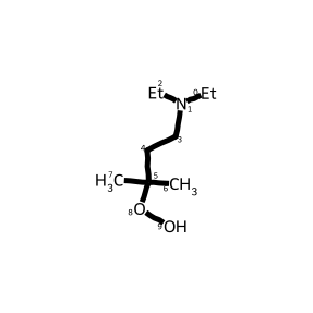 CCN(CC)CCC(C)(C)OO